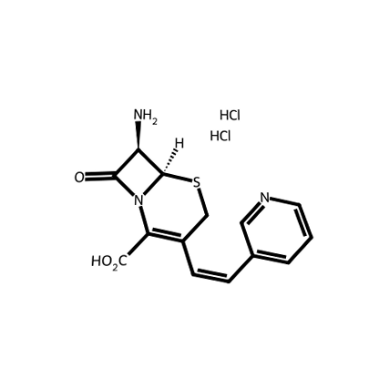 Cl.Cl.N[C@@H]1C(=O)N2C(C(=O)O)=C(/C=C\c3cccnc3)CS[C@H]12